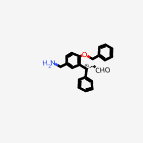 NCc1ccc(OCc2ccccc2)c([C@H](CC=O)c2ccccc2)c1